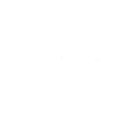 CCCCCCCCCCCCSC(=S)C1(C#N)CSC(C(=O)O)C1